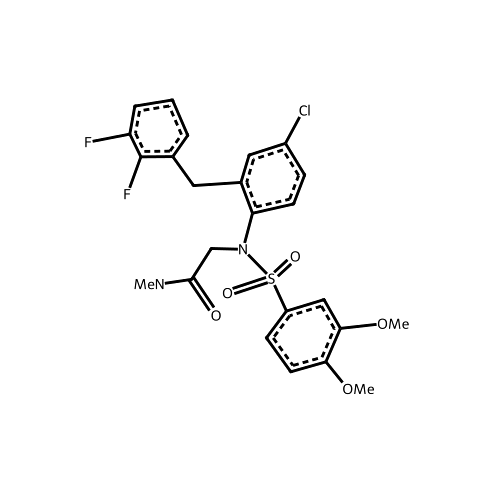 CNC(=O)CN(c1ccc(Cl)cc1Cc1cccc(F)c1F)S(=O)(=O)c1ccc(OC)c(OC)c1